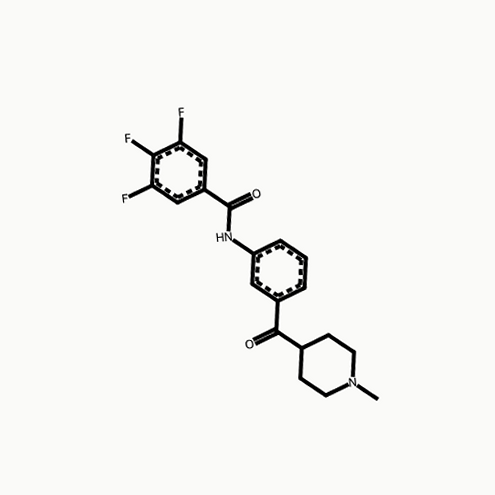 CN1CCC(C(=O)c2cccc(NC(=O)c3cc(F)c(F)c(F)c3)c2)CC1